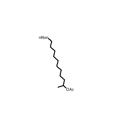 CCCCCCCCCCCCCCCCCCC(C)OC(C)=O